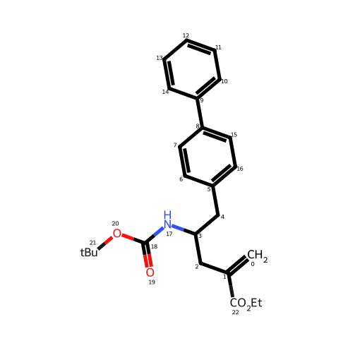 C=C(CC(Cc1ccc(-c2ccccc2)cc1)NC(=O)OC(C)(C)C)C(=O)OCC